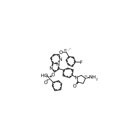 C[C@@H](Oc1ccc2ncc(-c3ccc(N4C[C@@H](N)CC4=O)cc3)n2n1)c1cccc(F)c1.O=S(=O)(O)c1ccccc1